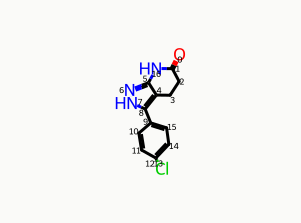 O=C1CCc2c(n[nH]c2-c2ccc(Cl)cc2)N1